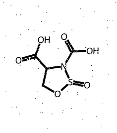 O=C(O)C1COS(=O)N1C(=O)O